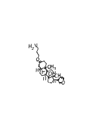 C[C@]12CC[C@@H](OCCCN)C[C@H]1CC[C@@H]1[C@@H]2CC[C@]2(C)[C@@H](c3ccoc3)CC[C@]12O